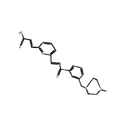 CN1CCN(Cc2cccc(C(=O)C=Cc3cccc(C=CC(=O)O)n3)c2)CC1